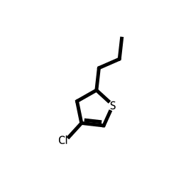 CCCC1CC(Cl)=CS1